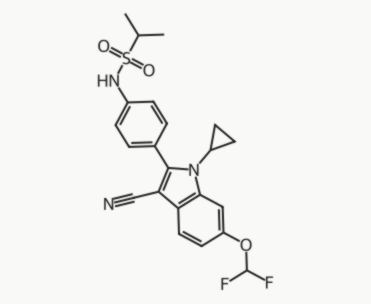 CC(C)S(=O)(=O)Nc1ccc(-c2c(C#N)c3ccc(OC(F)F)cc3n2C2CC2)cc1